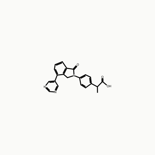 CC(C(=O)O)c1ccc(N2Cc3c(cccc3-c3cncnc3)C2=O)cc1